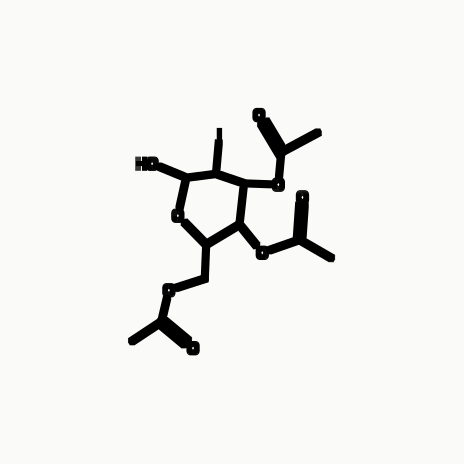 CC(=O)OCC1OC(O)C(I)C(OC(C)=O)C1OC(C)=O